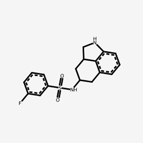 O=S(=O)(NC1Cc2cccc3c2C(CN3)C1)c1cccc(F)c1